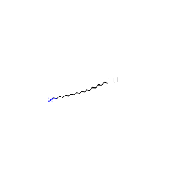 C[N+](C)(C)CCCCCCCCCCCCCCCCCCCC[SiH3]